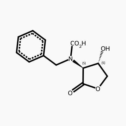 O=C1OC[C@@H](O)[C@@H]1N(Cc1ccccc1)C(=O)O